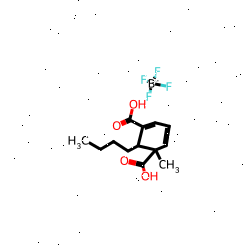 CCCCC1C(C(=O)O)=CC=CC1(C)C(=O)O.F[B-](F)(F)F